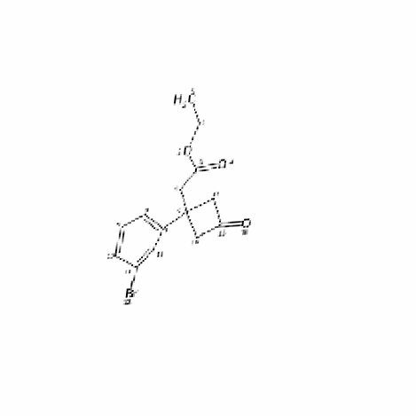 CCOC(=O)CC1(c2cccc(Br)c2)CC(=O)C1